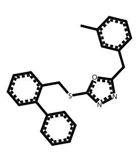 Cc1cccc(Cc2nnc(SCc3ccccc3-c3ccccc3)o2)c1